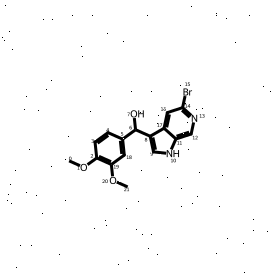 COc1ccc(C(O)c2c[nH]c3cnc(Br)cc23)cc1OC